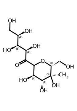 C[C@]1(O)[C@H](O)[C@@H](O)C(C(=O)[C@H](O)[C@@H](O)[C@H](O)CO)O[C@@H]1CO